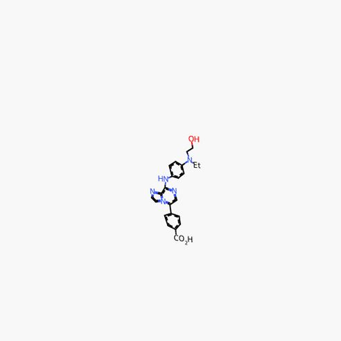 CCN(CCO)c1ccc(Nc2ncc(-c3ccc(C(=O)O)cc3)n3ccnc23)cc1